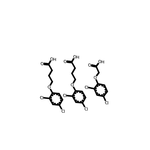 O=C(O)CCCOc1ccc(Cl)cc1Cl.O=C(O)CCCOc1ccc(Cl)cc1Cl.O=C(O)COc1ccc(Cl)cc1Cl